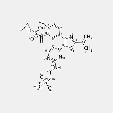 CC(C)c1nc(-c2ccc(F)c(NS(=O)(=O)C3CC3)c2)c(-c2ccnc(NCCS(C)(=O)=O)n2)s1